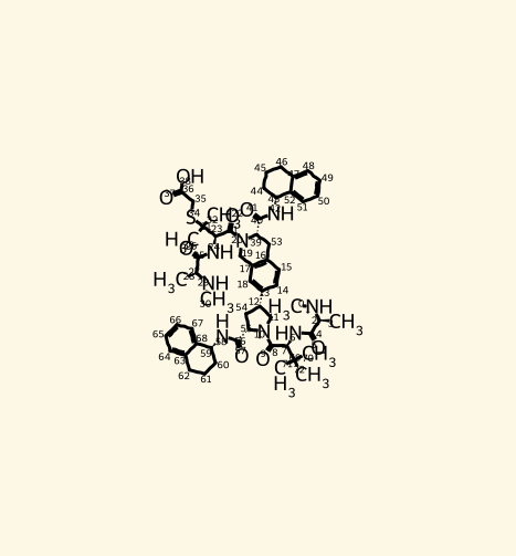 CN[C@@H](C)C(=O)N[C@H](C(=O)N1C[C@@H](c2ccc3c(c2)CN(C(=O)[C@@H](NC(=O)[C@H](C)NC)C(C)(C)SCC(=O)O)[C@H](C(=O)N[C@@H]2CCCc4ccccc42)C3)C[C@H]1C(=O)N[C@@H]1CCCc2ccccc21)C(C)(C)C